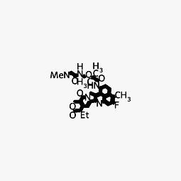 CCC1C(=O)OCc2c1cc1n(c2=O)Cc2c-1nc1cc(F)c(C)c3c1c2C(NC(=O)C(C)(C)OCNC(=O)CNC)CC3